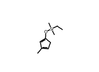 CC[Si](C)(C)OC1=CC(C)=CC1